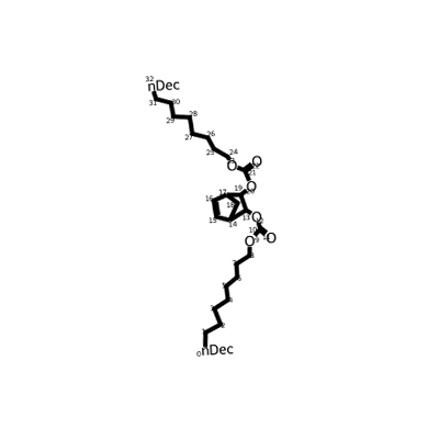 CCCCCCCCCCCCCCCCCCOC(=O)OC1C2C=CC(C2)C1OC(=O)OCCCCCCCCCCCCCCCCCC